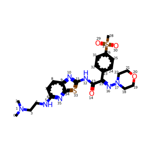 CN(C)CCNc1ccc2nc(NC(=O)/C(=N/N3CCOCC3)c3ccc(S(C)(=O)=O)cc3)sc2n1